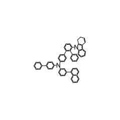 C1=Cc2c(n(-c3cccc(-c4ccc(N(c5ccc(-c6ccccc6)cc5)c5cccc(-c6cccc7ccccc67)c5)cc4)c3-c3ccccc3)c3ccccc23)CC1